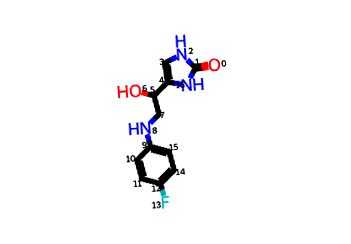 O=c1[nH]cc(C(O)CNc2ccc(F)cc2)[nH]1